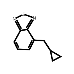 [CH]1CC1Cc1cccc2nsnc12